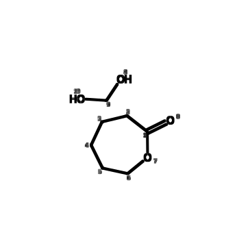 O=C1CCCCCO1.OCO